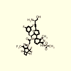 Cn1nc(NS(C)(=O)=O)c2cccc(-c3ccc(C#C[C@@H](N)CO)nc3[C@H](Cc3cc(F)cc(F)c3)NC(=O)Cn3nc(C(F)(F)F)c4c3C(F)(F)[C@@H]3CC[C@H]43)c21